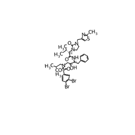 Cc1nc(CN2CCN([C@H](C(=O)N[C@@H](Cc3ccccc3)[C@@H](O)CN(CC(C)C)S(=O)(=O)c3ccc(Br)c(Br)c3)C(C)C)C2=O)cs1